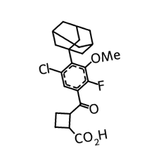 COc1c(F)c(C(=O)C2CCC2C(=O)O)cc(Cl)c1C12CC3CC(CC(C3)C1)C2